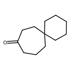 O=C1CCCC2(CCCCC2)CC1